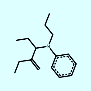 C=C(CC)C(CC)N(CCC)c1ccccc1